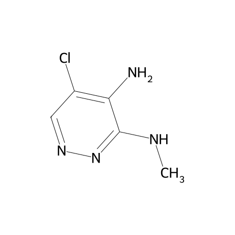 CNc1nncc(Cl)c1N